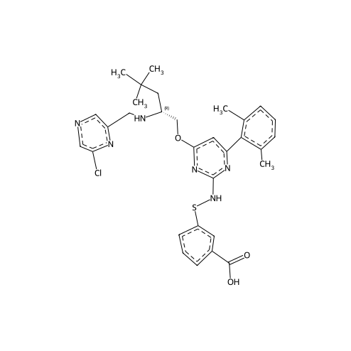 Cc1cccc(C)c1-c1cc(OC[C@@H](CC(C)(C)C)NCc2cncc(Cl)n2)nc(NSc2cccc(C(=O)O)c2)n1